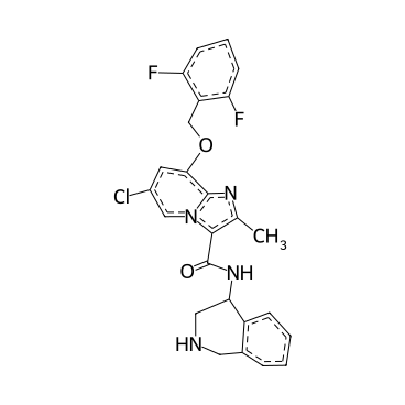 Cc1nc2c(OCc3c(F)cccc3F)cc(Cl)cn2c1C(=O)NC1CNCc2ccccc21